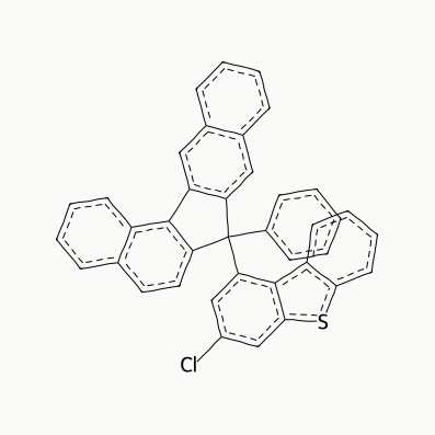 Clc1cc(C2(c3ccccc3)c3cc4ccccc4cc3-c3c2ccc2ccccc32)c2c(c1)sc1ccccc12